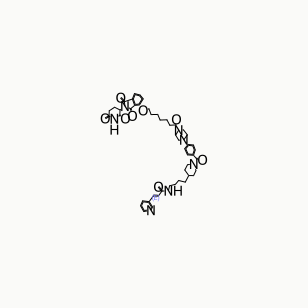 O=C(/C=C/c1cccnc1)NCCCCC1CCN(C(=O)c2ccc(N3CCN(C(=O)CCCCCCOc4cccc5c4C(=O)N(C4CCC(=O)NC4=O)C5=O)CC3)cc2)CC1